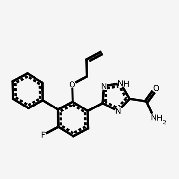 C=CCOc1c(-c2n[nH]c(C(N)=O)n2)ccc(F)c1-c1ccccc1